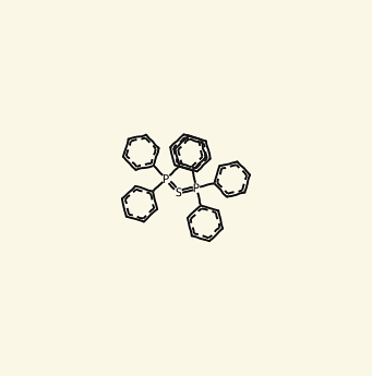 c1ccc(P(=S=P(c2ccccc2)(c2ccccc2)c2ccccc2)(c2ccccc2)c2ccccc2)cc1